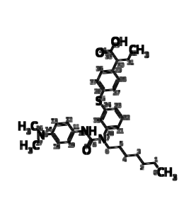 CCCCCCCN(C(=O)Nc1ccc(N(C)C)cc1)c1cccc(Sc2ccc(C(CC)C(=O)O)cc2)c1